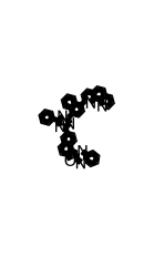 c1ccc(-c2nc(-c3ccc4c(ccc5oc6nc7ccccc7nc6c54)c3)nc(-c3ccc(-c4ccc5ccc6cccnc6c5n4)c4ccccc34)n2)cc1